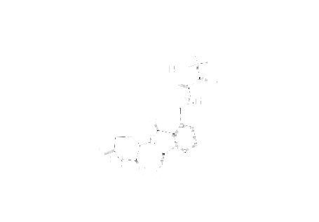 CC(C)(O)C(=O)C(=O)NCc1cccc2c1C(=O)N(C1CCC(=O)NC1=O)C2=O